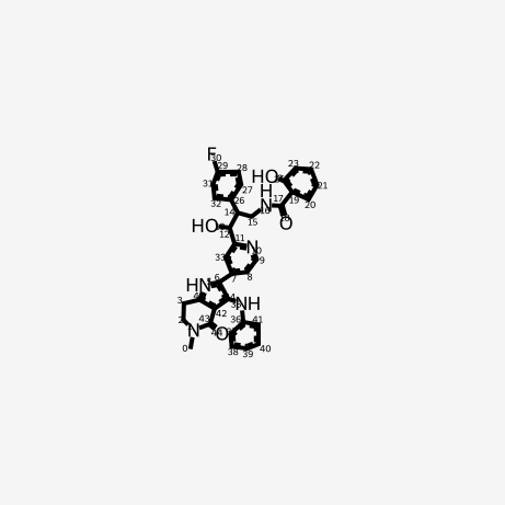 CN1CCc2[nH]c(-c3ccnc(C(O)C(CNC(=O)c4ccccc4O)c4ccc(F)cc4)c3)c(Nc3ccccc3)c2C1=O